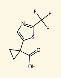 O=C(O)C1(c2cnc(C(F)(F)F)s2)CC1